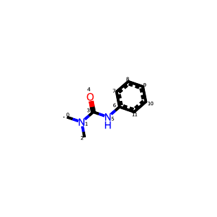 [CH2]N(C)C(=O)Nc1ccccc1